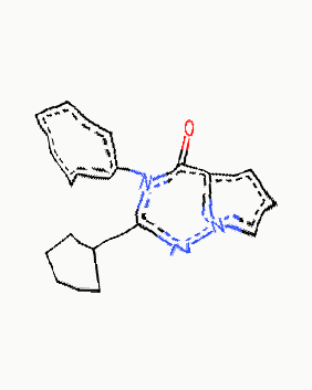 O=c1c2cccn2nc(C2CCCC2)n1-c1ccccc1